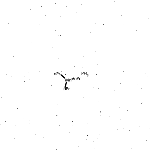 CC[CH2][Mn]([CH2]CC)[CH2]CC.P